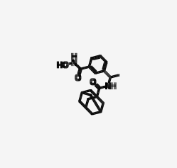 CC(NC(=O)C12CC3CC(CC(C3)C1)C2)c1cccc(C(=O)NO)c1